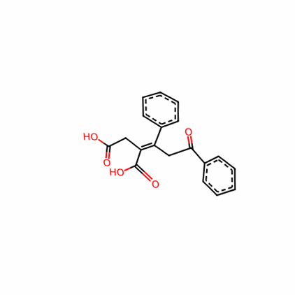 O=C(O)CC(C(=O)O)=C(CC(=O)c1ccccc1)c1ccccc1